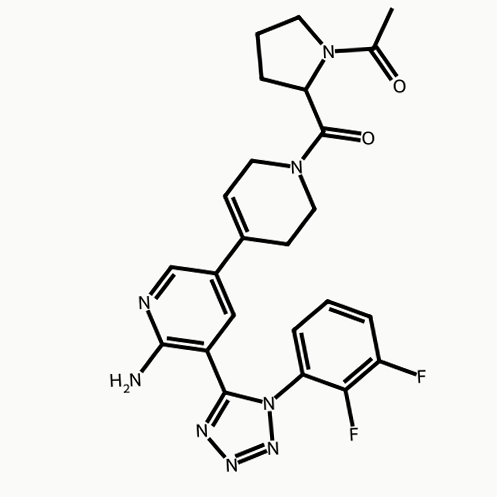 CC(=O)N1CCCC1C(=O)N1CC=C(c2cnc(N)c(-c3nnnn3-c3cccc(F)c3F)c2)CC1